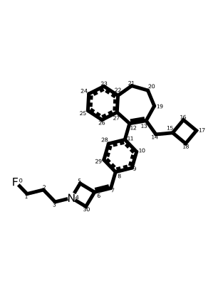 FCCCN1CC(=Cc2ccc(C3=C(CC4CCC4)CCCc4ccccc43)cc2)C1